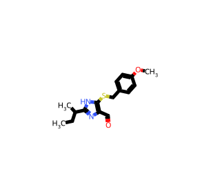 CCC(C)c1nc(C=O)c(SCc2ccc(OC)cc2)[nH]1